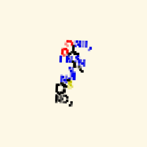 Cc1nn2cc(C(N)=O)c(=O)[nH]c2c1/N=N/c1nc2ccc([N+](=O)[O-])cc2s1